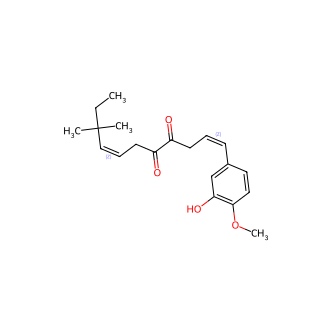 CCC(C)(C)/C=C\CC(=O)C(=O)C/C=C\c1ccc(OC)c(O)c1